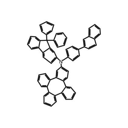 c1ccc(C2(c3ccccc3)c3ccccc3-c3ccc(N(c4ccc(-c5ccc6ccccc6c5)cc4)c4ccc5c(c4)-c4ccccc4-c4ccccc4-c4ccccc4-5)cc32)cc1